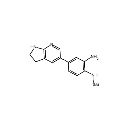 CC(C)(C)Nc1ccc(-c2cnc3c(c2)CCN3)cc1N